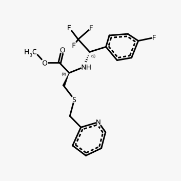 COC(=O)[C@H](CSCc1ccccn1)N[C@@H](c1ccc(F)cc1)C(F)(F)F